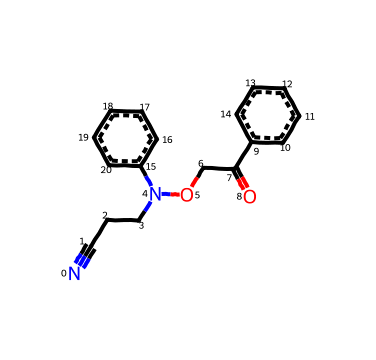 N#CCCN(OCC(=O)c1ccccc1)c1ccccc1